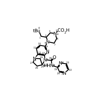 CC(C)(C)CC1CN(C(=O)O)CCN1c1ccc2c(n1)N(C(=O)Nc1cnccn1)[C@H]1CCN2C1